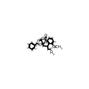 CCC(CC(N=C=O)(OCc1ccccc1)C(=O)O)c1ccccc1OC